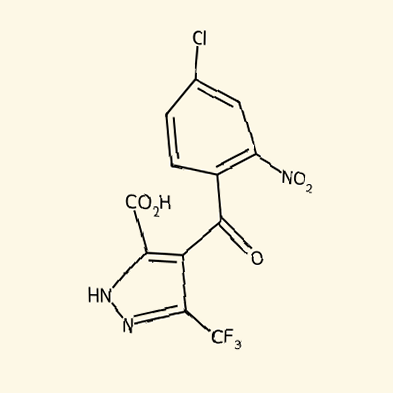 O=C(O)c1[nH]nc(C(F)(F)F)c1C(=O)c1ccc(Cl)cc1[N+](=O)[O-]